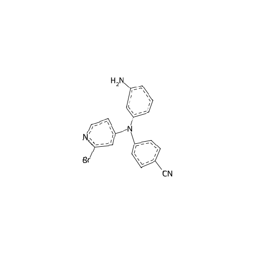 N#Cc1ccc(N(c2cccc(N)c2)c2ccnc(Br)c2)cc1